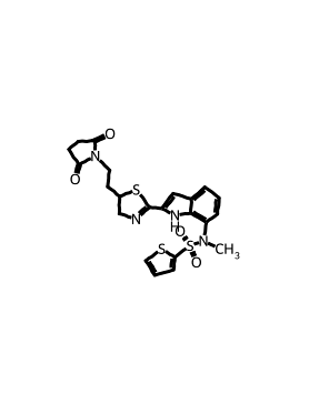 CN(c1cccc2cc(C3=NCC(CCN4C(=O)CCC4=O)S3)[nH]c12)S(=O)(=O)c1cccs1